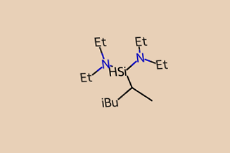 CCC(C)C(C)[SiH](N(CC)CC)N(CC)CC